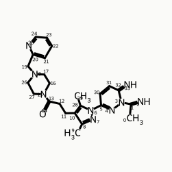 CC(=N)n1nc(-n2nc(C)c(CCC(=O)N3CCN(Cc4ccccn4)CC3)c2C)ccc1=N